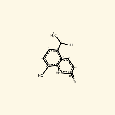 CC(O)c1ccc(O)c2[nH]c(=O)ccc12